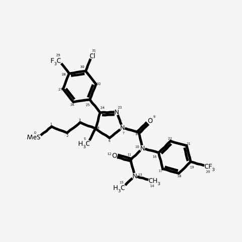 CSCCCC1(C)CN(C(=O)N(C(=O)N(C)C)c2ccc(C(F)(F)F)cc2)N=C1c1ccc(C(F)(F)F)c(Cl)c1